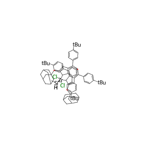 C[SiH](C)[Zr]([Cl])([Cl])([CH]1C(CC23CC4CC(CC(C4)C2)C3)=Cc2c(-c3ccc(C(C)(C)C)cc3)ccc(-c3ccc(C(C)(C)C)cc3)c21)[CH]1C(CC23CC4CC(CC(C4)C2)C3)=Cc2c(-c3ccc(C(C)(C)C)cc3)ccc(-c3ccc(C(C)(C)C)cc3)c21